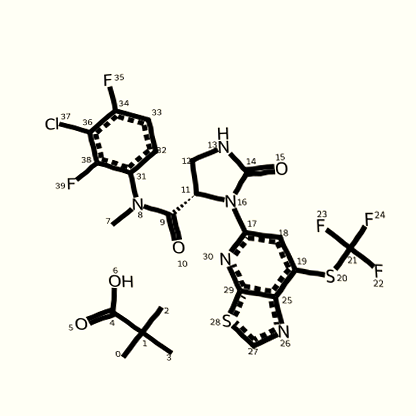 CC(C)(C)C(=O)O.CN(C(=O)[C@@H]1CNC(=O)N1c1cc(SC(F)(F)F)c2ncsc2n1)c1ccc(F)c(Cl)c1F